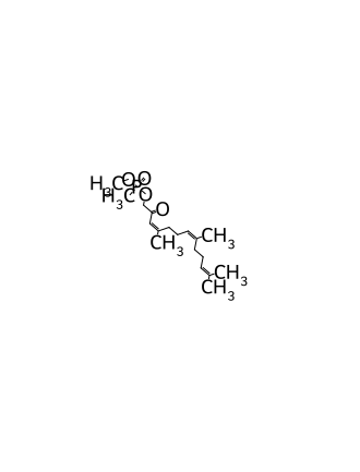 COP(C)(=O)OCC(=O)C=C(C)CCC=C(C)CCC=C(C)C